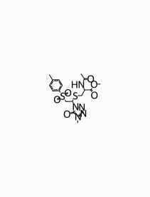 COC(=O)C(CSC(CS(=O)(=O)c1ccc(C)cc1)n1nnn(C)c1=O)NC(C)=O